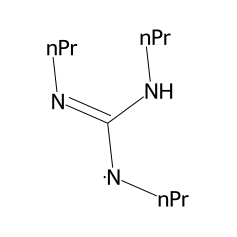 CCC[N]C(=NCCC)NCCC